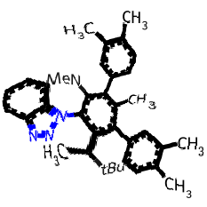 CNc1c(-c2ccc(C)c(C)c2)c(C)c(-c2ccc(C)c(C)c2)c(C(C)C(C)(C)C)c1-n1nnc2ccccc21